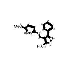 COc1ccc(OCc2c(-c3ccccc3)noc2C)nn1